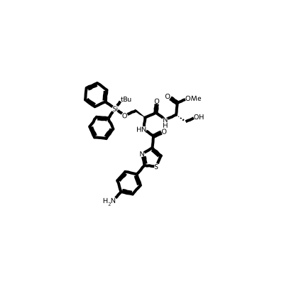 COC(=O)[C@H](CO)NC(=O)[C@H](CO[Si](c1ccccc1)(c1ccccc1)C(C)(C)C)NC(=O)c1csc(-c2ccc(N)cc2)n1